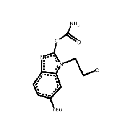 CCCCc1ccc2nc(OC(N)=O)n(CCCl)c2c1